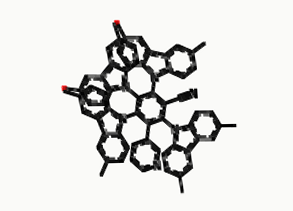 Cc1ccc2c(c1)c1cc(C)ccc1n2-c1c(C#N)c(-n2c3ccc(C)cc3c3cc(C)ccc32)c(-n2c3ccc(C)cc3c3cc(C)ccc32)c(-n2c3ccc(C)cc3c3cc(C)ccc32)c1-c1cccnc1